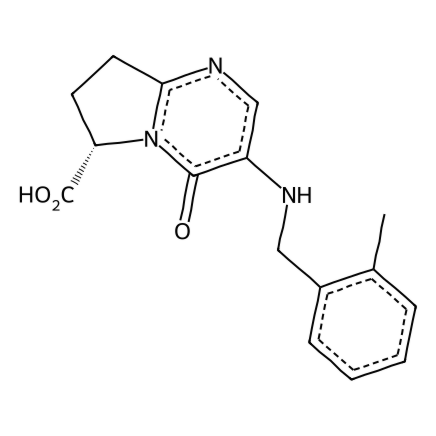 Cc1ccccc1CNc1cnc2n(c1=O)[C@H](C(=O)O)CC2